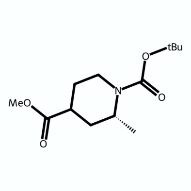 COC(=O)C1CCN(C(=O)OC(C)(C)C)[C@H](C)C1